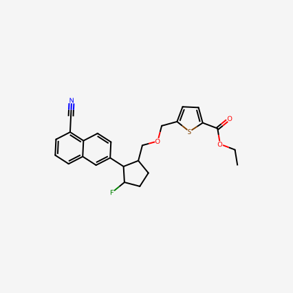 CCOC(=O)c1ccc(COCC2CCC(F)C2c2ccc3c(C#N)cccc3c2)s1